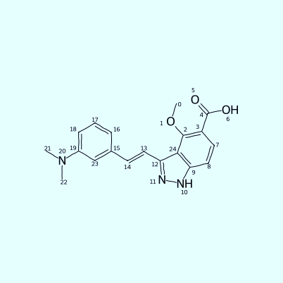 COc1c(C(=O)O)ccc2[nH]nc(C=Cc3cccc(N(C)C)c3)c12